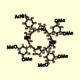 COc1cc(OC)cc(-c2c3nc(c(-c4cc(OC)cc(OC)c4)c4ccc([nH]4)c(-c4cc(OC)cc(OC)c4)c4nc(c(-c5ccc(NC(C)=O)cc5)c5ccc2[nH]5)C=C4)C=C3)c1